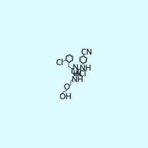 Cl.N#Cc1ccc(Nc2nc(Cc3ccccc3Cl)cc(NCCOCCO)n2)cc1